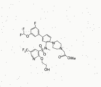 COC(=O)CN1CCN(c2ccc(-c3cc(F)cc(OC(F)F)c3)cc2N(C)S(=O)(=O)c2cc(C(F)(F)F)cnc2OCCO)CC1